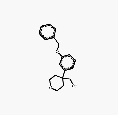 OCC1(c2cccc(OCc3ccccc3)c2)CCOCC1